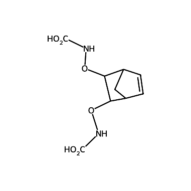 O=C(O)NOC1C2C=CC(C2)C1ONC(=O)O